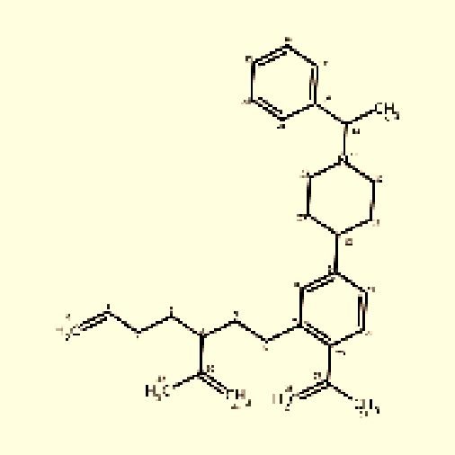 C=CCCC(CCc1cc(C2CCN(C(C)c3ccccc3)CC2)ccc1C(=C)C)C(=C)C